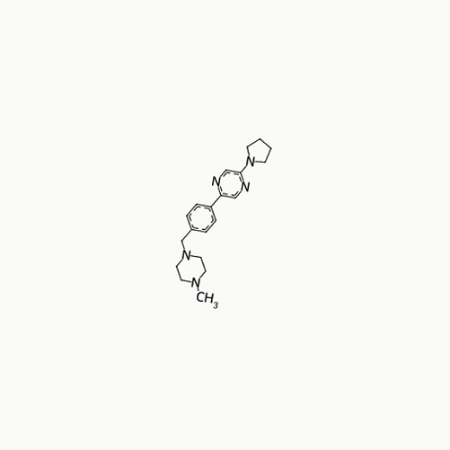 CN1CCN(Cc2ccc(-c3cnc(N4CCCC4)cn3)cc2)CC1